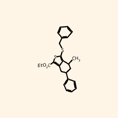 CCOC(=O)c1sc(SCc2ccccc2)c2c1CC(c1ccccc1)CC2C